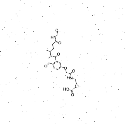 CC(CCC(=O)NC=O)N(C)C(=O)c1cc(OCC(=O)NCC2CC2C(=O)O)ccc1C=O